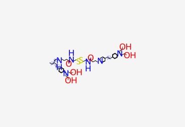 C/C=C(\C=C/NCCCC(=O)NCCSSCCNC(=O)CCCN1C=CC(/C=C/c2ccc(N(CCO)CCO)cc2)=CC1)/C=C/c1ccc(N(CCO)CCO)cc1